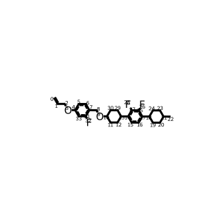 C=CCOc1ccc(COC2CCC(c3ccc(C4CCC(C)CC4)c(F)c3F)CC2)c(F)c1